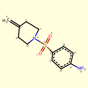 C=C1CCN(S(=O)(=O)c2ccc(N)cc2)CC1